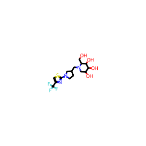 OCC1C(O)C(O)C(O)CN1CC1CCN(c2nc(C(F)(F)F)cs2)C1